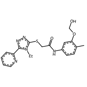 CCn1c(SCC(=O)Nc2ccc(C)c(OCO)c2)nnc1-c1ccccn1